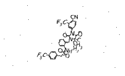 CC1(C)C(=O)N(c2ccc(C#N)c(C(F)(F)F)c2)C(=O)N1Cc1ccccc1NS(=O)(=O)Cc1ccc(C(F)(F)F)cc1